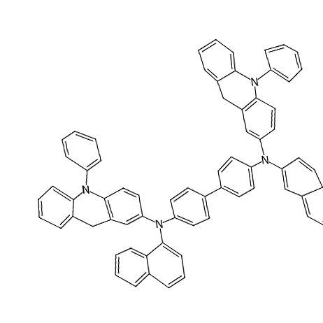 c1ccc(N2c3ccccc3Cc3cc(N(c4ccc(-c5ccc(N(c6ccc7c(c6)Cc6ccccc6N7c6ccccc6)c6cccc7ccccc67)cc5)cc4)c4ccc5ccccc5c4)ccc32)cc1